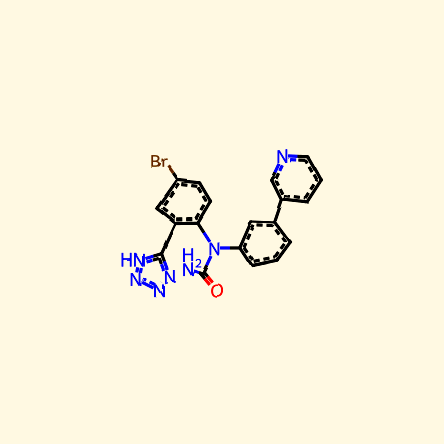 NC(=O)N(c1cccc(-c2cccnc2)c1)c1ccc(Br)cc1-c1nnn[nH]1